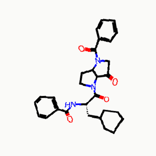 O=C(N[C@@H](CC1CCCCC1)C(=O)N1CCC2C1C(=O)CN2C(=O)c1ccccc1)c1ccccc1